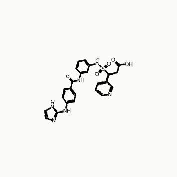 O=C(O)CC(c1cccnc1)S(=O)(=O)Nc1cccc(NC(=O)c2ccc(Nc3ncc[nH]3)cc2)c1